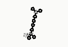 C[Si]1(C)c2ccccc2-c2c(-c3ccccc3)nc(-c3ccc(-c4ccc(-c5ccc(-c6ccc(-c7nc(-c8ccccc8)nc(-c8ccccc8)n7)cc6)cc5)cc4)cc3)nc21